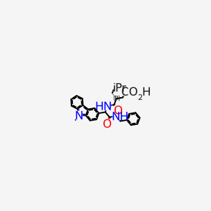 CC(C)C[C@H](CC(=O)O)C(=O)NC(C(=O)NCc1ccccc1)c1ccc2c(c1)c1ccccc1n2C